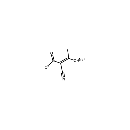 CC(O)=C(C#N)C(=O)[O-].[Na+]